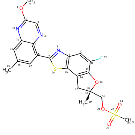 COc1cnc2c(-c3nc4cc(F)c5c(c4s3)C[C@@](C)(COS(C)(=O)=O)O5)cc(C)cc2n1